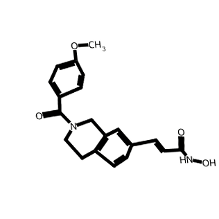 COc1ccc(C(=O)N2CCc3ccc(C=CC(=O)NO)cc3C2)cc1